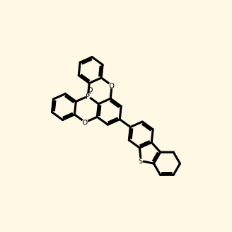 O=P12c3ccccc3Oc3cc(-c4ccc5c6c(sc5c4)C=CCC6)cc(c31)Oc1ccccc12